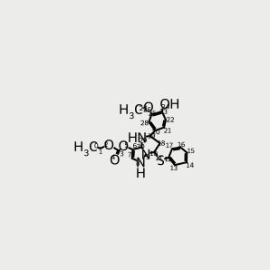 CCOC(=O)OC1=CNN2C(Sc3ccccc3)CC(c3ccc(O)c(OC)c3)NC12